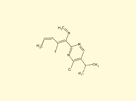 C=N/C(=C(F)\C=C/C)c1ncc(C(C)C)c(Cl)n1